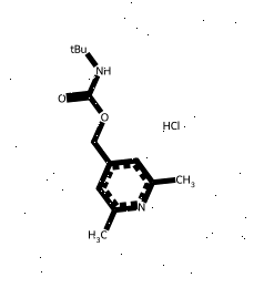 Cc1cc(COC(=O)NC(C)(C)C)cc(C)n1.Cl